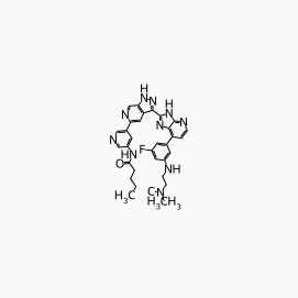 CCCCC(=O)Nc1cncc(-c2cc3c(-c4nc5c(-c6cc(F)cc(NCCN(C)C)c6)ccnc5[nH]4)n[nH]c3cn2)c1